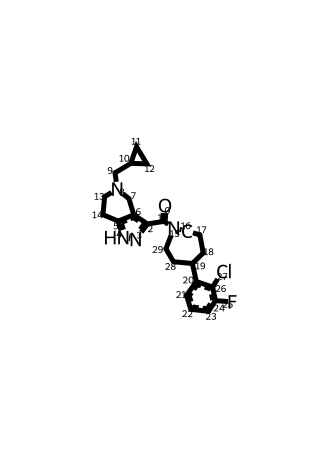 O=C(c1n[nH]c2c1CN(CC1CC1)CC2)N1CCCC(c2cccc(F)c2Cl)CC1